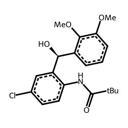 COc1cccc([C@H](O)c2cc(Cl)ccc2NC(=O)C(C)(C)C)c1OC